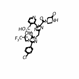 O=C1CN(C(=O)c2nc(Cn3nc(-c4ccc(Cl)cc4)n(C[C@H](O)C(F)(F)F)c3=O)nn2-c2cnccc2C(=O)O)CCN1